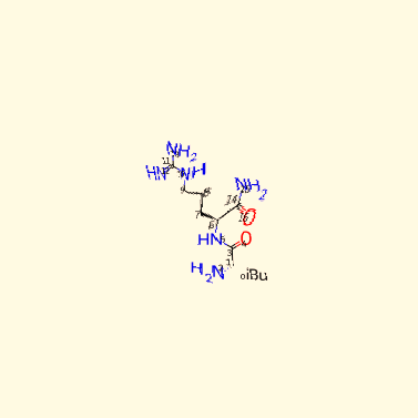 CC[C@H](C)[C@H](N)C(=O)N[C@@H](CCCNC(=N)N)C(N)=O